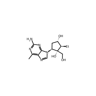 CC[C@@H]1[C@@H](O)C[C@H](n2cnc3c(C)nc(N)nc32)[C@]1(O)CO